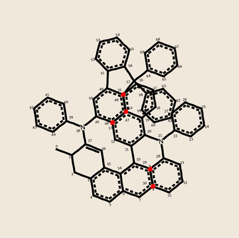 CC1Cc2ccc3cccc(-c4ccc5ccccc5c4N(c4ccccc4)c4ccccc4)c3c2C=C1N(c1ccccc1)c1ccc2c(c1)-c1ccccc1C2(c1ccccc1)c1ccccc1